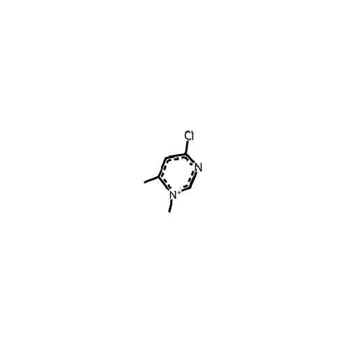 Cc1cc(Cl)nc[n+]1C